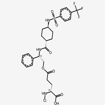 O=C(CC[C@@H](NCl)C(=O)O)OC[C@@H](NC(=O)[C@H]1CC[C@H](NS(=O)(=O)c2ccc(C(F)(F)F)cc2)CC1)c1ccccc1